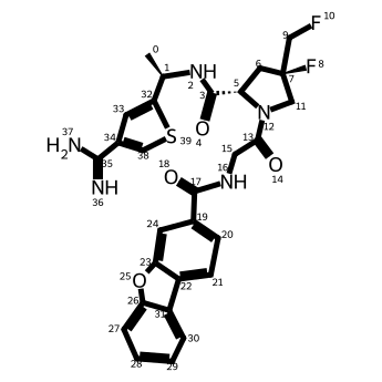 C[C@@H](NC(=O)[C@@H]1C[C@](F)(CF)CN1C(=O)CNC(=O)c1ccc2c(c1)oc1ccccc12)c1cc(C(=N)N)cs1